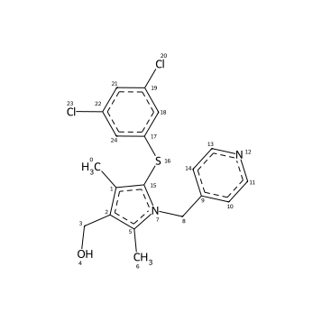 Cc1c(CO)c(C)n(Cc2ccncc2)c1Sc1cc(Cl)cc(Cl)c1